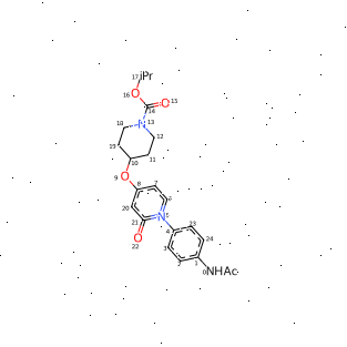 CC(=O)Nc1ccc(-n2ccc(OC3CCN(C(=O)OC(C)C)CC3)cc2=O)cc1